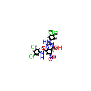 O=C(Nc1cc(Cl)cc(Cl)c1)c1cc([N+](=O)[O-])cc2c(O)nc(Nc3ccc(Cl)c(Cl)c3)nc12